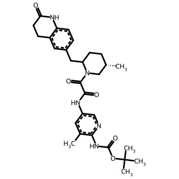 Cc1cc(NC(=O)C(=O)N2C[C@@H](C)CCC2Cc2ccc3c(c2)CCC(=O)N3)cnc1NC(=O)OC(C)(C)C